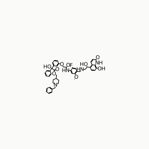 COc1cc(NC(=O)COc2cccc([C@](O)(C(=O)OCC3CCN(Cc4ccccc4)CC3)c3ccccc3)c2)c(F)cc1CNC[C@H](O)c1ccc(O)c2[nH]c(=O)ccc12